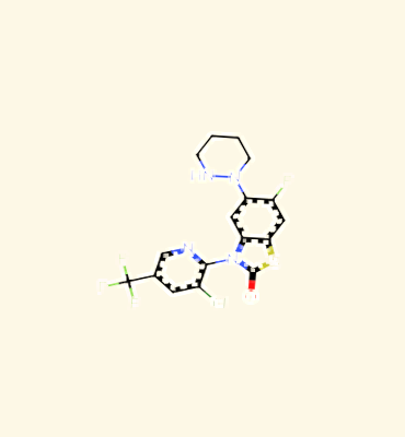 O=c1sc2cc(F)c(N3CCCCN3)cc2n1-c1ncc(C(F)(F)F)cc1Cl